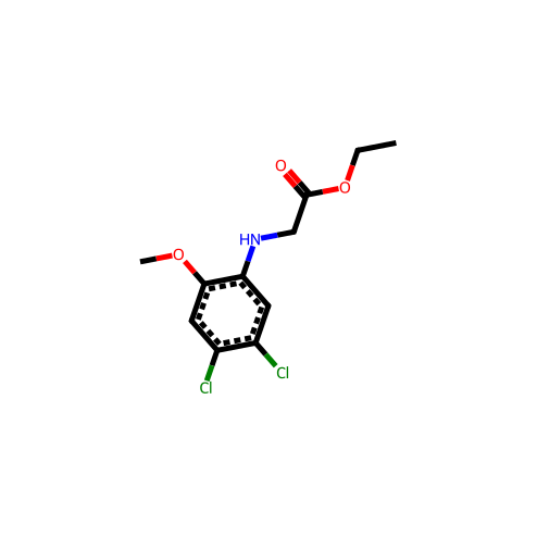 CCOC(=O)CNc1cc(Cl)c(Cl)cc1OC